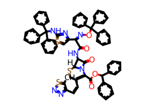 Cc1snnc1/C=C\C1=C(C(=O)OC(c2ccccc2)c2ccccc2)N2C(=O)C(NC(=O)/C(=N\OC(c3ccccc3)(c3ccccc3)c3ccccc3)c3csc(NC(c4ccccc4)(c4ccccc4)c4ccccc4)n3)[C@@H]2SC1